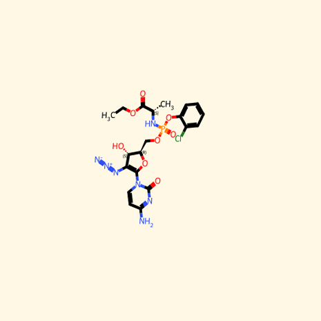 CCOC(=O)[C@H](C)NP(=O)(OC[C@H]1OC(n2ccc(N)nc2=O)=C(N=[N+]=[N-])[C@@H]1O)Oc1ccccc1Cl